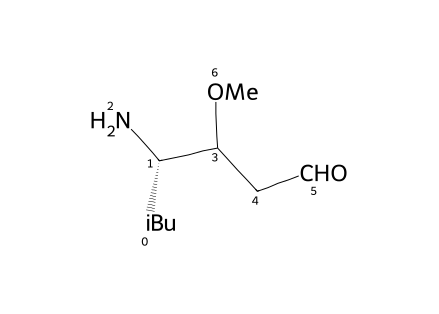 CCC(C)[C@H](N)C(CC=O)OC